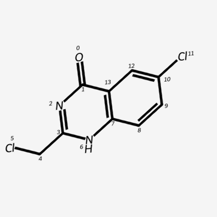 O=c1nc(CCl)[nH]c2ccc(Cl)cc12